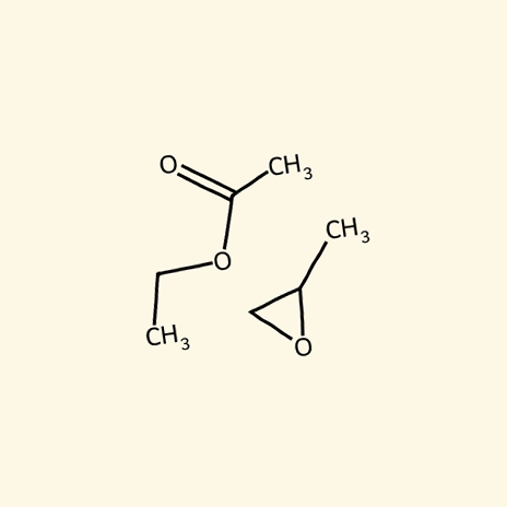 CC1CO1.CCOC(C)=O